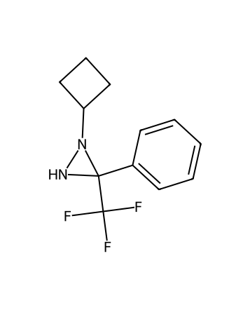 FC(F)(F)C1(c2ccccc2)NN1C1CCC1